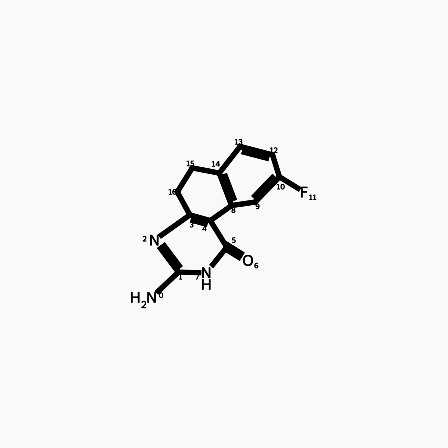 Nc1nc2c(c(=O)[nH]1)-c1cc(F)ccc1CC2